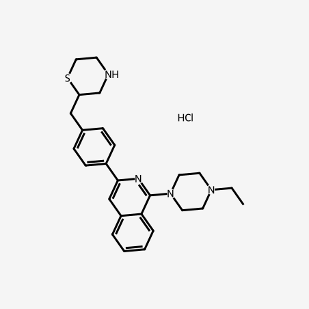 CCN1CCN(c2nc(-c3ccc(CC4CNCCS4)cc3)cc3ccccc23)CC1.Cl